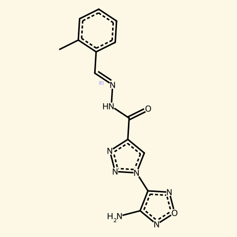 Cc1ccccc1/C=N/NC(=O)c1cn(-c2nonc2N)nn1